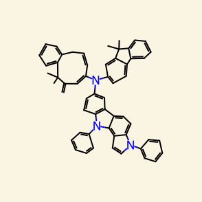 C=C1/C=C(N(c2ccc3c(c2)C(C)(C)c2ccccc2-3)c2ccc3c(c2)c2ccc4c(ccn4-c4ccccc4)c2n3-c2ccccc2)\C=C/Cc2ccccc2C1(C)C